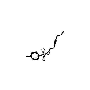 CCCC#CCCOS(=O)(=O)c1ccc(C)cc1